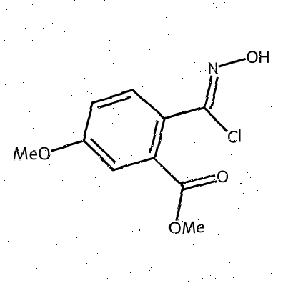 COC(=O)c1cc(OC)ccc1C(Cl)=NO